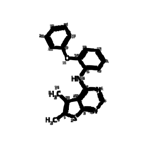 Cc1sc2ncnc(Nc3ccccc3Oc3ccccc3)c2c1C